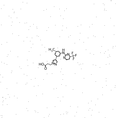 Cc1cc(Nc2nccc(C(F)(F)F)n2)cc(-c2cnn(CCC(=O)O)c2)c1